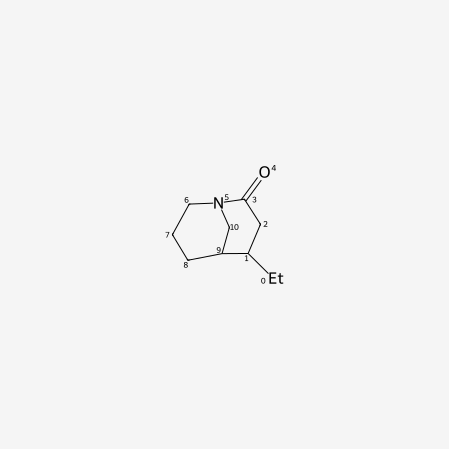 CCC1CC(=O)N2CCCC1C2